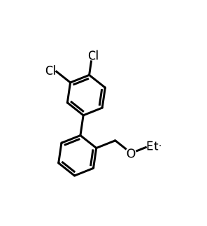 C[CH]OCc1ccccc1-c1ccc(Cl)c(Cl)c1